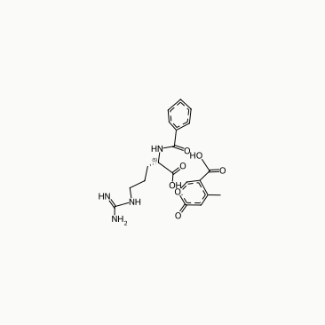 Cc1cc(=O)occ1C(=O)O.N=C(N)NCCC[C@H](NC(=O)c1ccccc1)C(=O)O